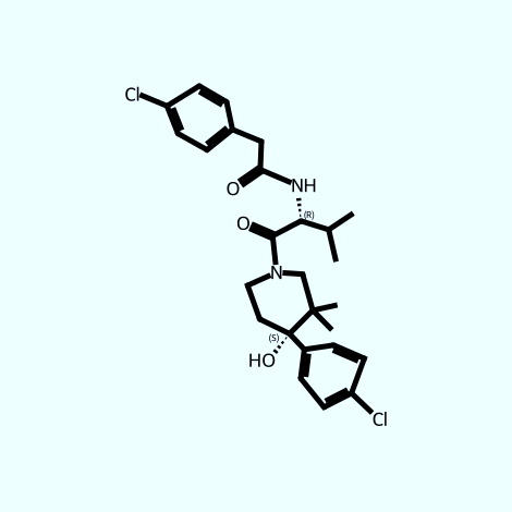 CC(C)[C@@H](NC(=O)Cc1ccc(Cl)cc1)C(=O)N1CC[C@](O)(c2ccc(Cl)cc2)C(C)(C)C1